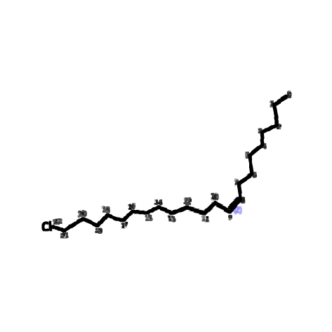 CCCCCCCC/C=C\CCCCCCCCCCCCCl